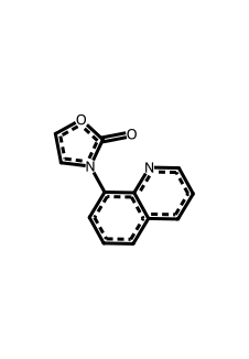 O=c1occn1-c1cccc2cccnc12